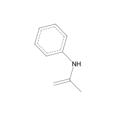 C=C(C)Nc1ccccc1